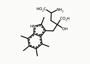 Cc1[nH]c2c(C)c(C)c(C)c(C)c2c1CC(O)(CC(N)C(=O)O)C(=O)O